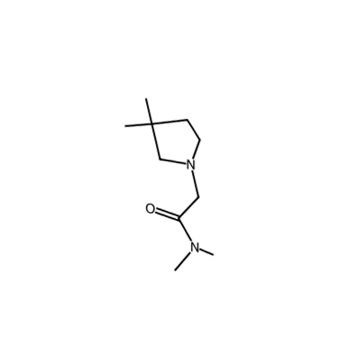 CN(C)C(=O)CN1CCC(C)(C)C1